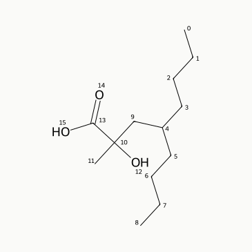 CCCCC(CCCC)CC(C)(O)C(=O)O